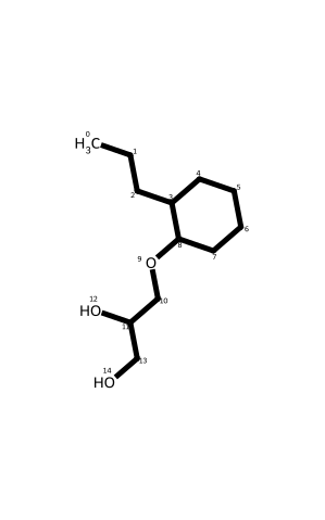 CCCC1CCCCC1OCC(O)CO